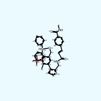 CNC(=O)c1ccc(C=CC(=O)NCc2sccc2-c2cc(CO[SiH](c3ccccc3)c3ccccc3)c(C)c(C(C)(C)C)c2C)cc1